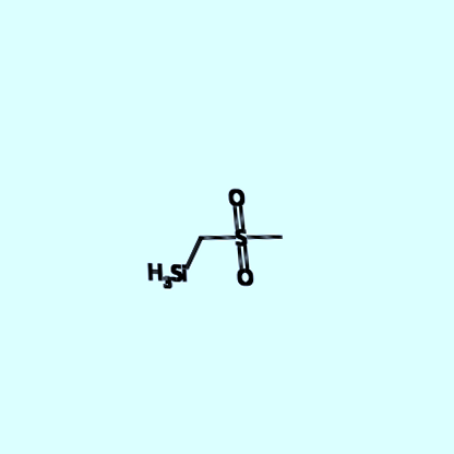 CS(=O)(=O)C[SiH3]